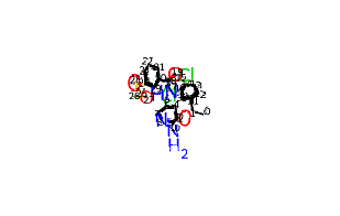 C[C@@H](Oc1cc(Cl)cnc1N)c1ccc(Cl)c(NC(=O)c2cccc(S(C)(=O)=O)c2)c1